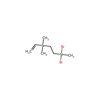 C=C[Si](C)(C)CC[Si](C)(Br)Br